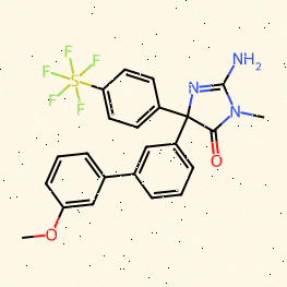 COc1cccc(-c2cccc(C3(c4ccc(S(F)(F)(F)(F)F)cc4)N=C(N)N(C)C3=O)c2)c1